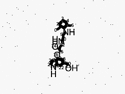 Cc1cccc(C)c1NCCNCC(O)COc1cc(CO)cc2[nH]ccc12